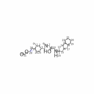 Cc1cc(CN(C)C[C@H](O)CNC(C)(C)CC2Cc3ccccc3C2)ccc1/C=C/OC=O